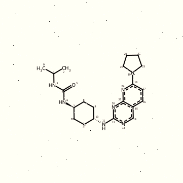 CC(C)NC(=O)N[C@H]1CC[C@H](Nc2ncc3ccc(N4CCCC4)nc3n2)CC1